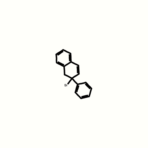 BrC1(c2ccccc2)C=Cc2ccccc2C1